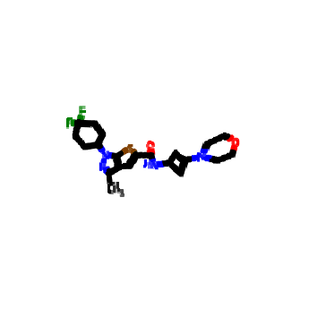 Cc1nn(C2CCC(F)(F)CC2)c2sc(C(=O)NC3CC(N4CCOCC4)C3)cc12